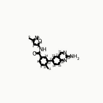 Cc1cc(NC(=O)c2ccc(C)c(-c3ccc4nc(N)ncc4c3)c2)on1